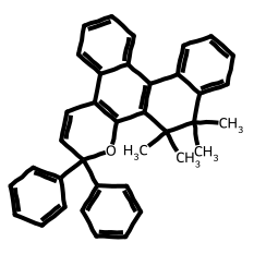 CC1(C)c2ccccc2-c2c(c3c(c4ccccc24)C=CC(c2ccccc2)(c2ccccc2)O3)C1(C)C